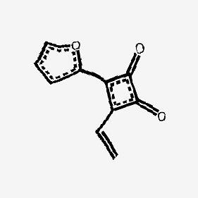 C=Cc1c(-c2ccco2)c(=O)c1=O